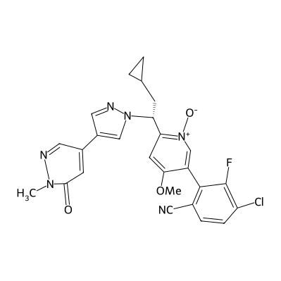 COc1cc([C@@H](CC2CC2)n2cc(-c3cnn(C)c(=O)c3)cn2)[n+]([O-])cc1-c1c(C#N)ccc(Cl)c1F